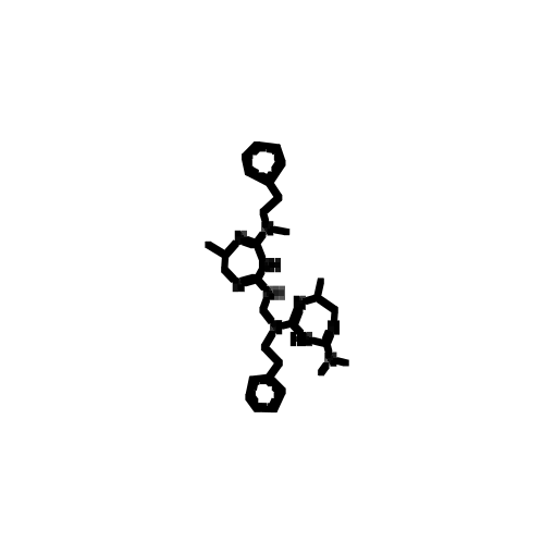 CC1CN=C(NCN(CCc2ccccc2)C2=NC(C)CN=C(N(C)C)N2)NC(N(C)CCc2ccccc2)=N1